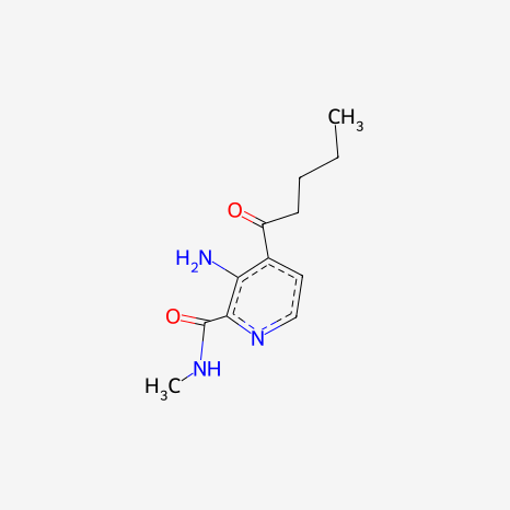 CCCCC(=O)c1ccnc(C(=O)NC)c1N